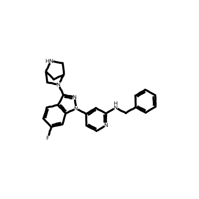 Fc1ccc2c(N3CC4CC3CN4)nn(-c3ccnc(NCc4ccccc4)c3)c2c1